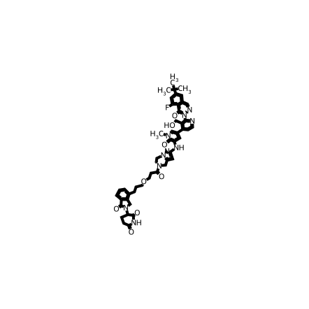 Cn1cc(-c2ccnc(-n3ncc4cc(C(C)(C)C)cc(F)c4c3=O)c2CO)cc(Nc2cc3n(n2)CCN(C(=O)CCOCCCc2cccc4c2CN(C2CCC(=O)NC2=O)C4=O)C3)c1=O